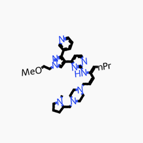 CCC/C=C(\C=C/CN1CCN(CC2CCCN2C)CC1)Nc1nccc(-c2cn(CCOC)nc2-c2cccnc2)n1